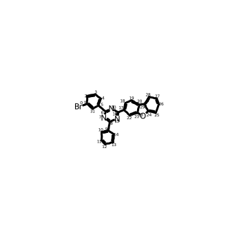 Brc1cccc(-c2nc(-c3ccccc3)nc(-c3ccc4c(c3)oc3ccccc34)n2)c1